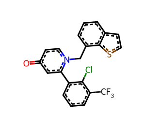 O=c1ccn(Cc2cccc3ccsc23)c(-c2cccc(C(F)(F)F)c2Cl)c1